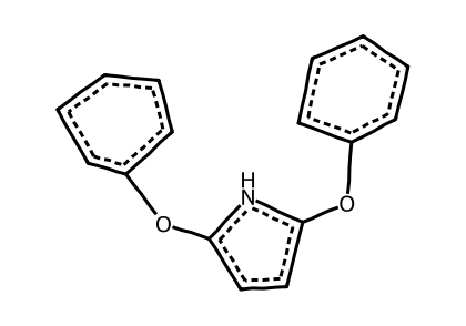 c1ccc(Oc2ccc(Oc3ccccc3)[nH]2)cc1